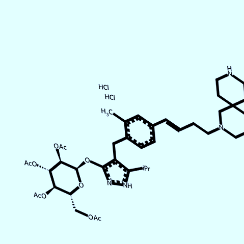 CC(=O)OC[C@H]1O[C@H](Oc2n[nH]c(C(C)C)c2Cc2ccc(/C=C/CCN3CCCC4(CCNCC4)C3)cc2C)[C@H](OC(C)=O)[C@@H](OC(C)=O)[C@@H]1OC(C)=O.Cl.Cl